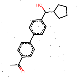 CC(=O)c1ccc(-c2ccc(C(O)C3CCCC3)cc2)cc1